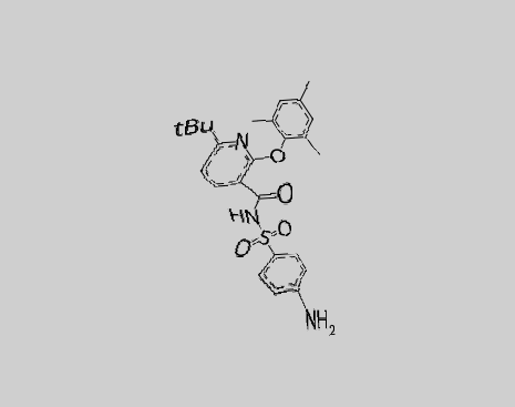 Cc1cc(C)c(Oc2nc(C(C)(C)C)ccc2C(=O)NS(=O)(=O)c2ccc(N)cc2)c(C)c1